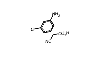 N#CCC(=O)O.Nc1cccc(Cl)c1